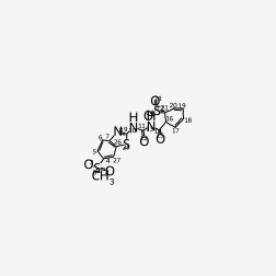 CS(=O)(=O)c1ccc2nc(NC(=O)NC(=O)C3C=CC=CC3=S(=O)=O)sc2c1